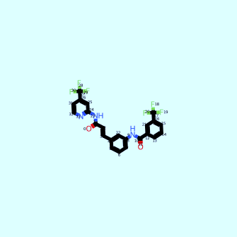 O=C(/C=C/c1cccc(NC(=O)c2cccc(C(F)(F)F)c2)c1)Nc1cc(C(F)(F)F)ccn1